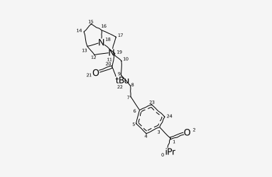 CC(C)C(=O)c1ccc(CCCCN2CC3CCC(C2)N3CC(=O)C(C)(C)C)cc1